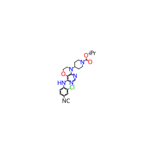 [C-]#[N+]c1ccc(Nc2ncnc3c2OCCN3C2CCN(C(=O)OC(C)C)CC2)c(Cl)c1